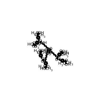 CC(C)(O)C(=O)c1ccc(COC(=O)N(CCCCCCn2c(=O)n(CCCCCCNC(=O)OC(c3ccc(C(=O)C(C)(C)O)cc3)c3ccc(C(=O)C(C)(C)O)cc3)c(=O)n(CCCCCCN(C(=O)OCc3ccc(C(=O)C(C)(C)O)cc3)c3ccc(C(=O)C(C)(C)O)cc3)c2=O)c2ccc(C(=O)C(C)(C)O)cc2)cc1